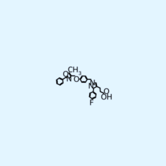 Cc1oc(-c2ccccc2)nc1COc1ccc(Cn2cc(CCC(=O)O)c(-c3ccc(F)cc3)n2)cc1